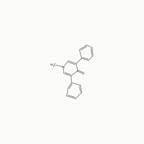 Cn1cc(-c2ccccc2)c(=O)c(-c2ccccc2)c1